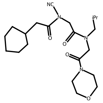 CC(C)CN(CC(=O)N1CCOCC1)C(=O)CN(C#N)C(=O)CC1CCCCC1